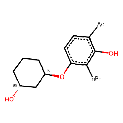 CCCc1c(O[C@@H]2CCC[C@@H](O)C2)ccc(C(C)=O)c1O